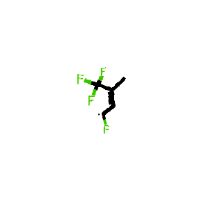 C/C(=C/[CH]F)C(F)(F)F